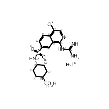 Cl.N=C(N)Nc1ncc(Cl)c2ccc(S(=O)(=O)N[C@H]3CC[C@H](C(=O)O)CC3)cc12